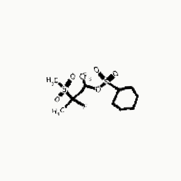 CC(F)(C(OS(=O)(=O)C1CCCCC1)C(F)(F)F)S(C)(=O)=O